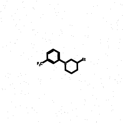 CCC1CCCN(c2cccc(C(F)(F)F)c2)C1